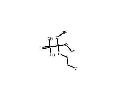 CC(C)OC(OCCCl)(OC(C)C)P(=O)(O)O